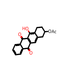 CC(=O)OC1CCc2c(cc3c(c2O)C(=O)c2ccccc2C3=O)C1